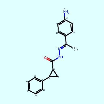 C/C(=N\NC(=O)C1CC1c1ccccc1)c1ccc(N)cc1